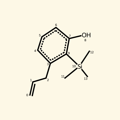 C=CCc1cccc(O)c1[Si](C)(C)C